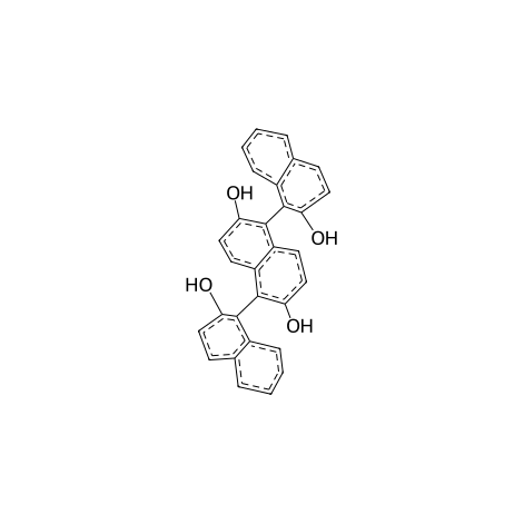 Oc1ccc2ccccc2c1-c1c(O)ccc2c(-c3c(O)ccc4ccccc34)c(O)ccc12